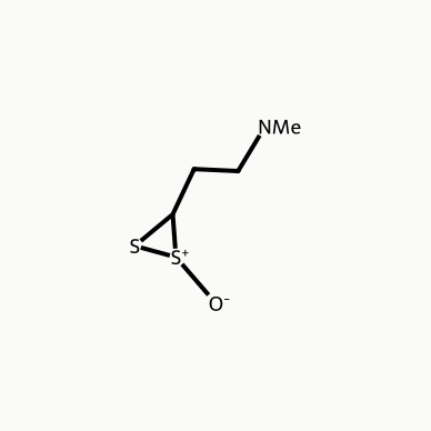 CNCCC1S[S+]1[O-]